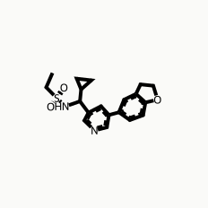 CCS(=O)(=O)NC(c1cncc(-c2ccc3c(c2)CCO3)c1)C1CC1